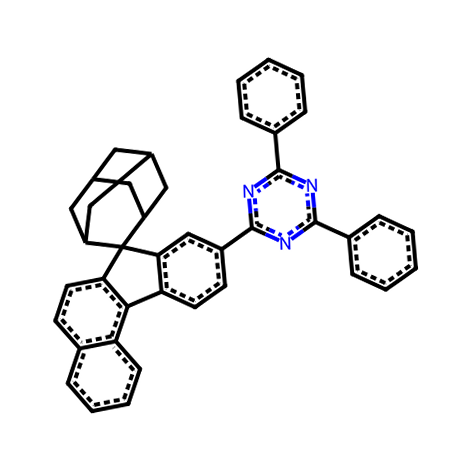 c1ccc(-c2nc(-c3ccccc3)nc(-c3ccc4c(c3)C3(c5ccc6ccccc6c5-4)C4CC5CC(C4)CC3C5)n2)cc1